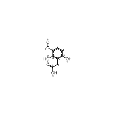 [O]Oc1ccc(O)c(CC(=O)O)c1O